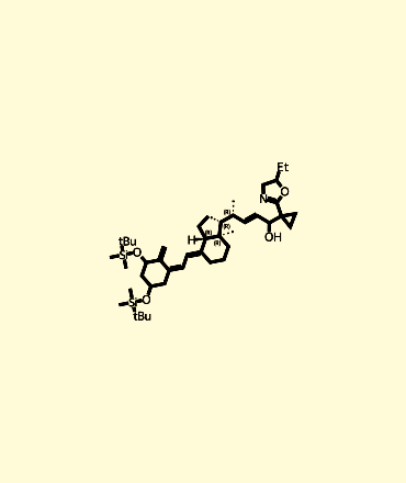 C=C1C(=CC=C2CCC[C@]3(C)[C@@H]([C@H](C)C=CC(O)C4(C5=NCC(CC)O5)CC4)CC[C@@H]23)CC(O[Si](C)(C)C(C)(C)C)CC1O[Si](C)(C)C(C)(C)C